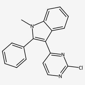 Cn1c(-c2ccccc2)c(-c2ccnc(Cl)n2)c2ccccc21